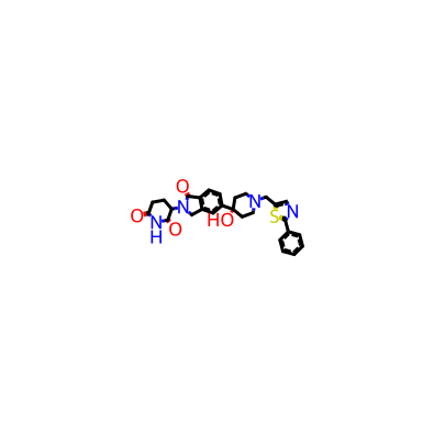 O=C1CCC(N2Cc3cc(C4(O)CCN(Cc5cnc(-c6ccccc6)s5)CC4)ccc3C2=O)C(=O)N1